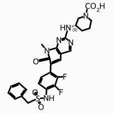 Cn1c(=O)c(-c2ccc(NS(=O)(=O)Cc3ccccc3)c(F)c2F)cc2cnc(N[C@H]3CCCN(C(=O)O)C3)nc21